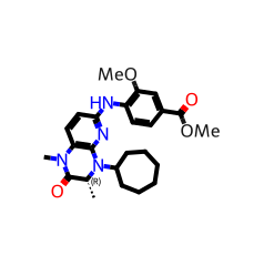 COC(=O)c1ccc(Nc2ccc3c(n2)N(C2CCCCCC2)[C@H](C)C(=O)N3C)c(OC)c1